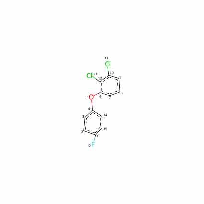 Fc1c[c]c(Oc2cccc(Cl)c2Cl)cc1